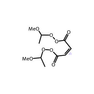 COC(C)OOC(=O)/C=C\C(=O)OOC(C)OC